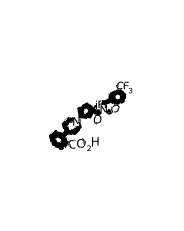 CC(C)[C@]1(C(=O)N2COc3ccc(C(F)(F)F)cc3C2)CC[C@@H](N2CCC(c3ccccc3C(=O)O)CC2)C1